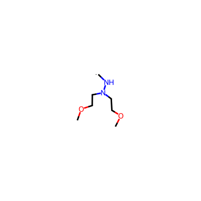 [CH2]NN(CCOC)CCOC